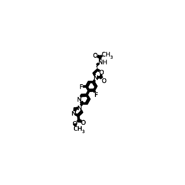 COC(=O)c1cn(-c2ccc(-c3c(F)cc(N4C[C@H](CNC(C)=O)OC4=O)cc3F)cn2)cn1